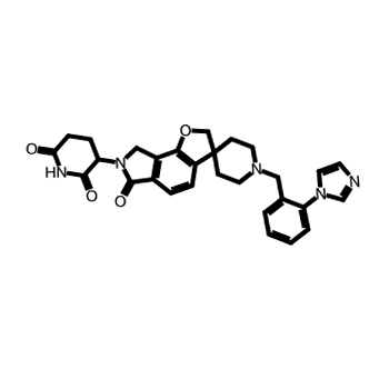 O=C1CCC(N2Cc3c(ccc4c3OCC43CCN(Cc4ccccc4-n4ccnc4)CC3)C2=O)C(=O)N1